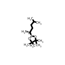 CC(C)CC[C@H](N)B1OC(C)(C)C(C)(C)O1